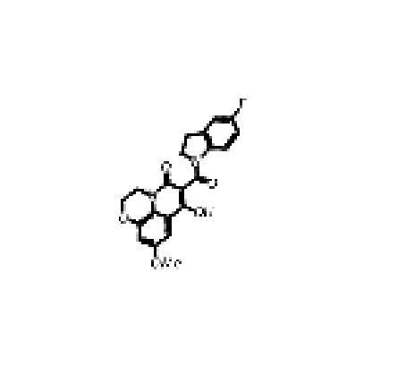 COc1cc2c3c(c1)c(O)c(C(=O)N1CCc4cc(F)ccc41)c(=O)n3CCO2